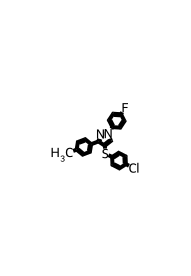 Cc1ccc(-c2nn(-c3ccc(F)cc3)cc2Sc2ccc(Cl)cc2)cc1